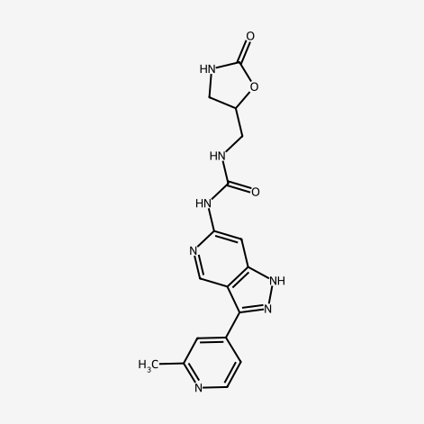 Cc1cc(-c2n[nH]c3cc(NC(=O)NCC4CNC(=O)O4)ncc23)ccn1